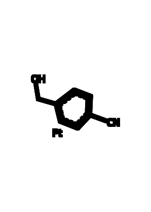 N#Cc1ccc(CO)cc1.[Pt]